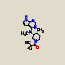 C[C@@H]1CCN(C(=O)C2(C#N)CC2)C[C@@H]1N(C)c1ncnc2[nH]ccc12